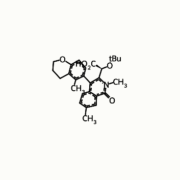 Cc1ccc2c(-c3ccc4c(c3C)CCCO4)c([C@H](OC(C)(C)C)C(=O)O)n(C)c(=O)c2c1